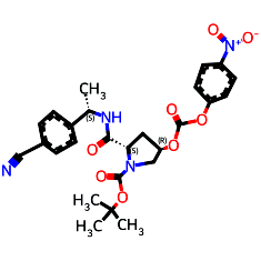 C[C@H](NC(=O)[C@@H]1C[C@@H](OC(=O)Oc2ccc([N+](=O)[O-])cc2)CN1C(=O)OC(C)(C)C)c1ccc(C#N)cc1